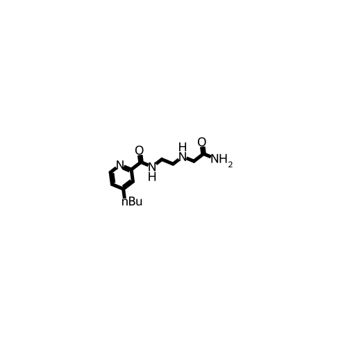 CCCCc1ccnc(C(=O)NCCNCC(N)=O)c1